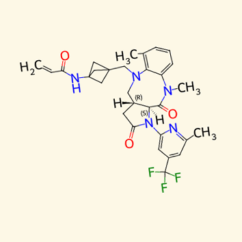 C=CC(=O)NC12CC(CN3C[C@H]4CC(=O)N(c5cc(C(F)(F)F)cc(C)n5)[C@@H]4C(=O)N(C)c4cccc(C)c43)(C1)C2